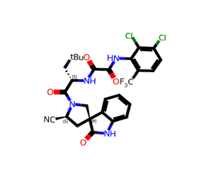 CC(C)(C)C[C@H](NC(=O)C(=O)Nc1c(C(F)(F)F)ccc(Cl)c1Cl)C(=O)N1C[C@]2(C[C@H]1C#N)C(=O)Nc1ccccc12